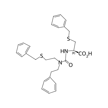 O=C(O)[C@H](CSCc1ccccc1)NC(=O)N(CCSCc1ccccc1)CCc1ccccc1